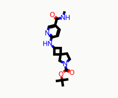 CNC(=O)c1ccc(NC2CC3(CCN(C(=O)OC(C)(C)C)C3)C2)nc1